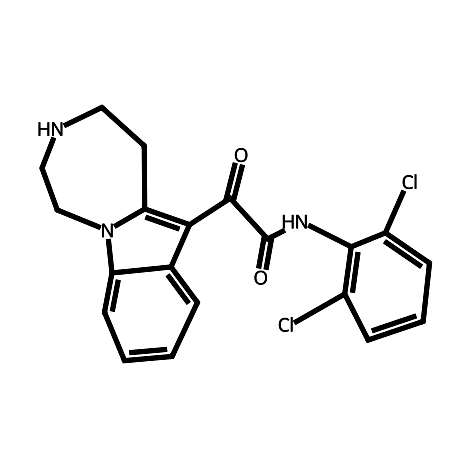 O=C(Nc1c(Cl)cccc1Cl)C(=O)c1c2n(c3ccccc13)CCNCC2